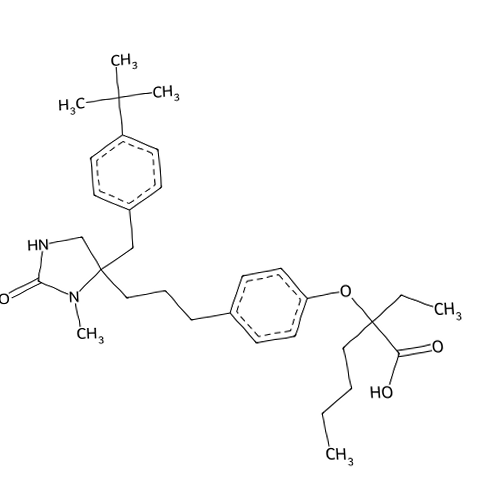 CCCCC(CC)(Oc1ccc(CCCC2(Cc3ccc(C(C)(C)C)cc3)CNC(=O)N2C)cc1)C(=O)O